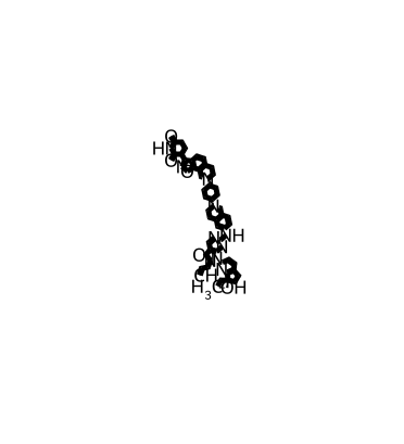 C=CCn1c(=O)c2cnc(Nc3ccc4c(c3)CCN([C@H]3CC[C@@H](N5CCc6ccc7c(C8CCC(=O)NC8=O)noc7c6C5)CC3)C4)nc2n1-c1ccc2c(n1)[C@@](O)(CC)CC2